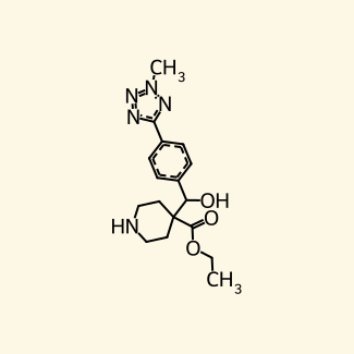 CCOC(=O)C1(C(O)c2ccc(-c3nnn(C)n3)cc2)CCNCC1